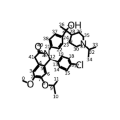 COc1cc2c(cc1OC(C)C)[C@H](c1ccc(Cl)cc1)N(c1ccc(C(C)(O)C3CCN(C(C)C)CC3)cc1)C(=O)C2